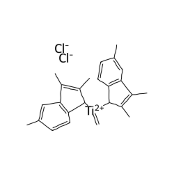 [CH2]=[Ti+2]([CH]1C(C)=C(C)c2cc(C)ccc21)[CH]1C(C)=C(C)c2cc(C)ccc21.[Cl-].[Cl-]